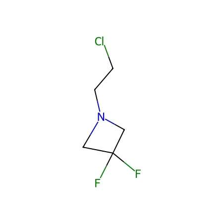 FC1(F)CN(CCCl)C1